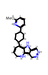 COc1cccc(C2CCC(C3=c4[nH]c5c(c4NCC=C3)CN=NC=5)CC2)n1